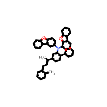 C=c1cccc/c1=C/C=C(\C)c1ccc(-c2ccccc2)c(N(c2ccc3oc4ccccc4c3c2)c2cccc3c2oc2ccccc23)c1